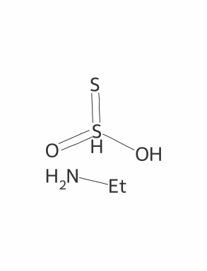 CCN.O=[SH](O)=S